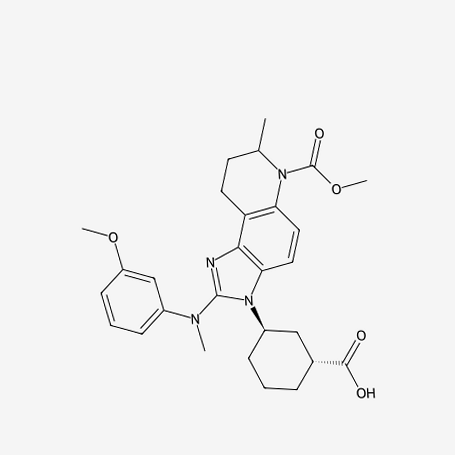 COC(=O)N1c2ccc3c(nc(N(C)c4cccc(OC)c4)n3[C@@H]3CCC[C@@H](C(=O)O)C3)c2CCC1C